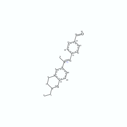 CCC1CCc2cc(/C(C)=C/c3ccc(C=O)cc3)ccc2S1